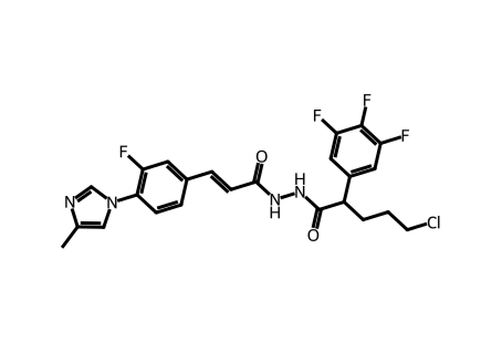 Cc1cn(-c2ccc(/C=C/C(=O)NNC(=O)C(CCCCl)c3cc(F)c(F)c(F)c3)cc2F)cn1